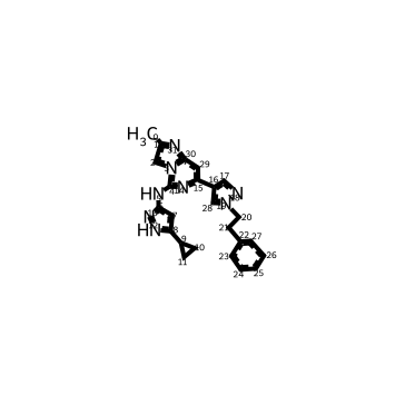 Cc1cn2c(Nc3cc(C4CC4)[nH]n3)nc(-c3cnn(CCc4ccccc4)c3)cc2n1